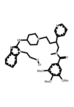 CCOCCn1c(NC2CCN(CCC(CN(C)C(=O)c3cc(OC)c(OC)c(OC)c3)c3cccnc3)CC2)nc2ccccc21